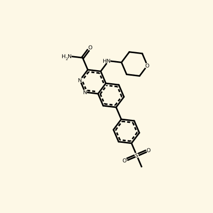 CS(=O)(=O)c1ccc(-c2ccc3c(NC4CCOCC4)c(C(N)=O)nnc3c2)cc1